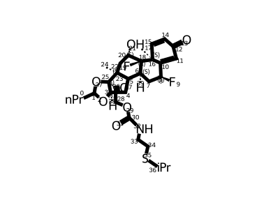 CCCC1O[C@@H]2CC3[C@@H]4C[C@H](F)C5=CC(=O)C=C[C@]5(C)[C@@]4(F)[C@@H](O)C[C@]3(C)[C@]2(C(=O)COC(=O)NCCSC(C)C)O1